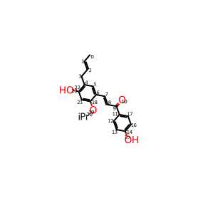 CC=CCc1cc(C=CC(=O)c2ccc(O)cc2)c(OC(C)C)cc1O